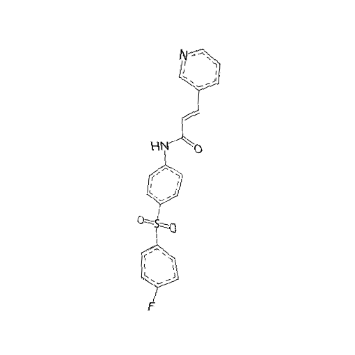 O=C(/C=C/c1cccnc1)Nc1ccc(S(=O)(=O)c2ccc(F)cc2)cc1